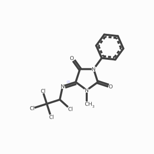 CN1C(=O)N(c2ccccc2)C(=O)/C1=N/C(Cl)C(Cl)(Cl)Cl